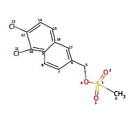 CS(=O)(=O)OCc1ccc2c(Cl)c(Cl)ccc2c1